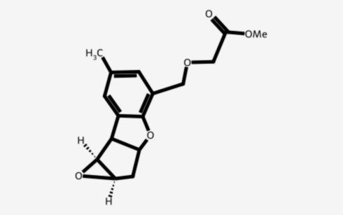 COC(=O)COCc1cc(C)cc2c1OC1C[C@H]3O[C@H]3C21